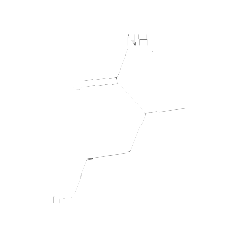 C[CH]CCCC(C)C(N)=O